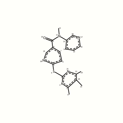 Cc1nc(Sc2ccc(C(=O)N(C)c3cccnc3)cn2)nc(C)c1C